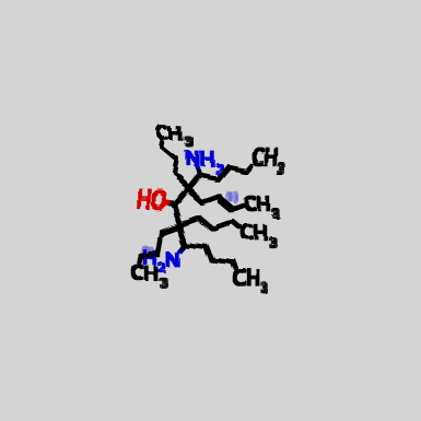 C/C=C/CC(CCCC)(C(N)CCCC)C(O)C(C/C=C/C)(CCCC)C(N)CCCC